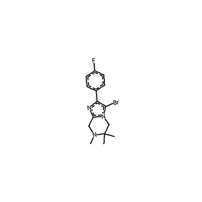 CN1Cc2nc(-c3ccc(F)cc3)c(Br)n2CC1(C)C